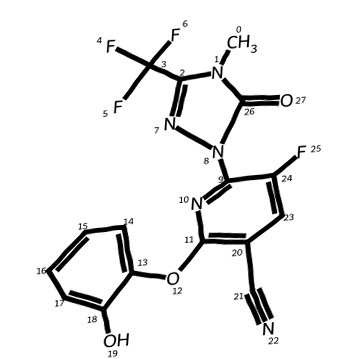 Cn1c(C(F)(F)F)nn(-c2nc(Oc3ccccc3O)c(C#N)cc2F)c1=O